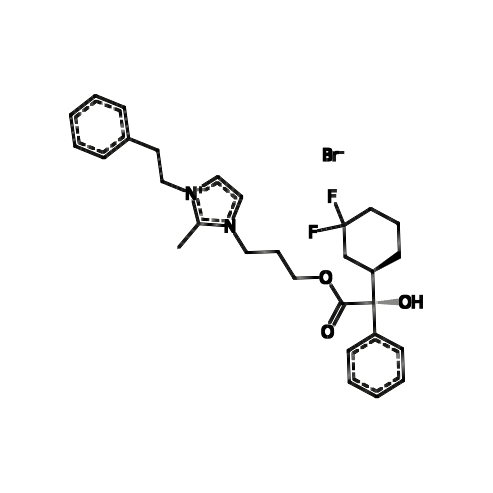 Cc1n(CCCOC(=O)[C@](O)(c2ccccc2)[C@@H]2CCCC(F)(F)C2)cc[n+]1CCc1ccccc1.[Br-]